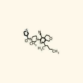 CCCCC(C)c1nc(N2CCN(C(=O)c3ccsc3)[C@H](C)C2)c(C#N)c2c1COCC2